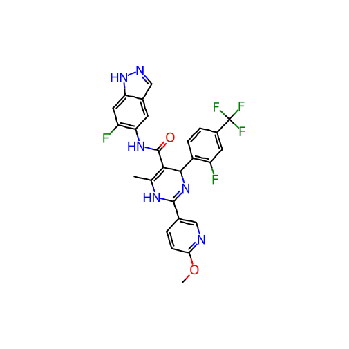 COc1ccc(C2=NC(c3ccc(C(F)(F)F)cc3F)C(C(=O)Nc3cc4cn[nH]c4cc3F)=C(C)N2)cn1